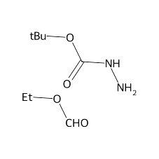 CC(C)(C)OC(=O)NN.CCOC=O